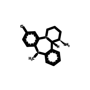 CN1c2ccccc2[C@H]2[C@@H](N)CCCN2c2cc(Cl)ccc21